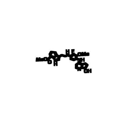 COC(=O)c1cccc2c(CCNc3ccc(Nc4ccnc5c4CCC5O)c(OC)c3F)c[nH]c12